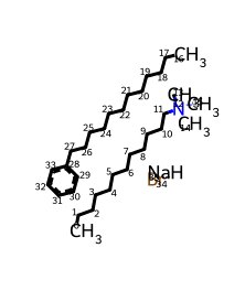 CCCCCCCCCCCC[N+](C)(C)C.CCCCCCCCCCCCc1ccccc1.[Br-].[NaH]